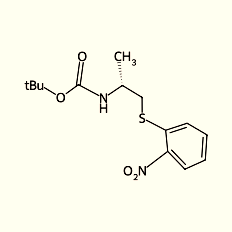 C[C@H](CSc1ccccc1[N+](=O)[O-])NC(=O)OC(C)(C)C